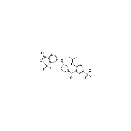 CC(C)Oc1ccc(S(C)(=O)=O)cc1C(=O)N1CCC(Oc2ccc([N+](=O)[O-])c(C(F)(F)F)c2)C1